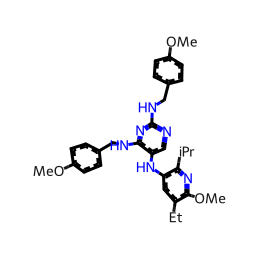 CCc1cc(Nc2cnc(NCc3ccc(OC)cc3)nc2NCc2ccc(OC)cc2)c(C(C)C)nc1OC